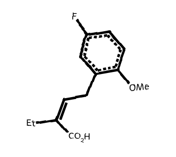 CCC(=CCc1cc(F)ccc1OC)C(=O)O